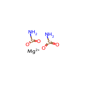 N[S-](=O)=O.N[S-](=O)=O.[Mg+2]